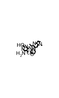 CC(Nc1nc(O)nc(N)c1C#N)c1nc2ccn(C)c2cc1N1CCOCC1